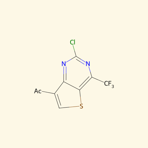 CC(=O)c1csc2c(C(F)(F)F)nc(Cl)nc12